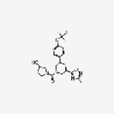 Cc1noc(C2CC(c3ccc(OC(F)(F)F)cc3)CN(C(=O)N3CCC(O)C3)C2)n1